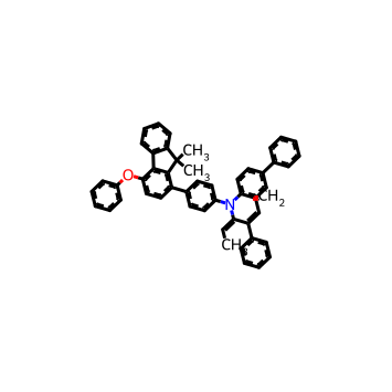 C=C/C=C(\C(=C/C)N(c1ccc(-c2ccccc2)cc1)c1ccc(-c2ccc(Oc3ccccc3)c3c2C(C)(C)c2ccccc2-3)cc1)c1ccccc1